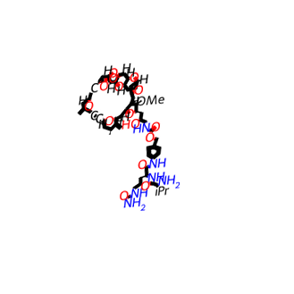 C=C1C[C@@H]2CC[C@@]34C[C@H]5OC6C(O[C@H]7CC[C@H](CC(=O)C[C@@H]8[C@@H](OC)[C@@H](C[C@H](O)CNC(=O)OCc9ccc(NC(=O)[C@H](CCCNC(N)=O)NC(=O)[C@@H](N)C(C)C)cc9)O[C@H]8C[C@H]8O[C@@H](CCC1O2)C[C@@H](C)C8=C)O[C@@H]7[C@@H]6O3)[C@H]5O4